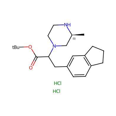 C[C@H]1CN(C(Cc2ccc3c(c2)CCC3)C(=O)OC(C)(C)C)CCN1.Cl.Cl